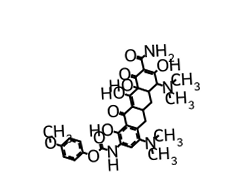 COc1ccc(OC(=O)Nc2cc(N(C)C)c3c(c2O)C(=O)C2=C(O)C4(O)C(=O)C(C(N)=O)=C(O)C(N(C)C)C4CC2C3)cc1